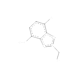 CC(C)Cn1nc2c(Br)ccc(C=O)c2n1